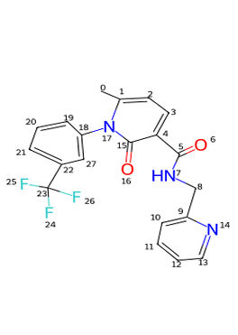 Cc1ccc(C(=O)NCc2ccccn2)c(=O)n1-c1cccc(C(F)(F)F)c1